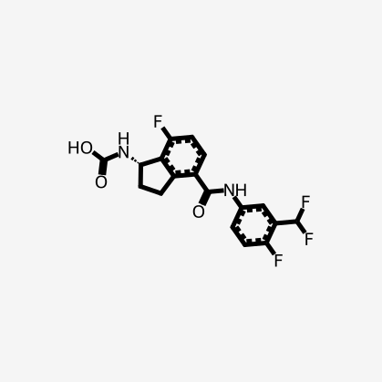 O=C(O)N[C@H]1CCc2c(C(=O)Nc3ccc(F)c(C(F)F)c3)ccc(F)c21